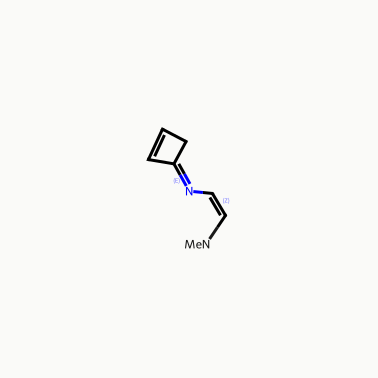 CN/C=C\N=C1\C=CC1